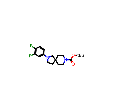 CC(C)(C)OC(=O)N1CCC2(CC1)CCN(c1ccc(F)c(F)c1)C2